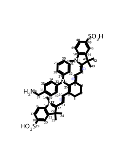 CN1/C(=C\C=C2/CCCC(/C=C/C3=[N+](C)c4ccc(S(=O)(=O)O)cc4C3(C)C)=C2N(c2ccccc2)c2ccc(CN)cc2)C(C)(C)c2cc(S(=O)(=O)O)ccc21